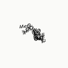 COc1ccc(-c2nc(C(=O)NCc3ccc(F)cc3F)c([C@@H](CC(C)(C)C)OC(N)=O)o2)cc1OCC1CC1